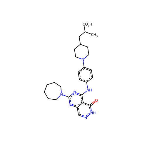 CC(CC1CCN(c2ccc(Nc3nc(N4CCCCCC4)nc4cn[nH]c(=O)c34)cc2)CC1)C(=O)O